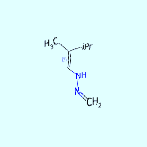 C=NN/C=C(/C)C(C)C